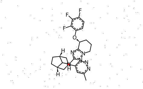 Cc1cc(N2C[C@H]3CC[C@@H](C2)C3Nc2nc3n(n2)CCC[C@@H]3Oc2ccc(F)c(F)c2F)cnn1